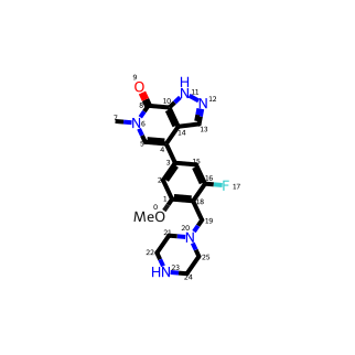 COc1cc(-c2cn(C)c(=O)c3[nH]ncc23)cc(F)c1CN1CCNCC1